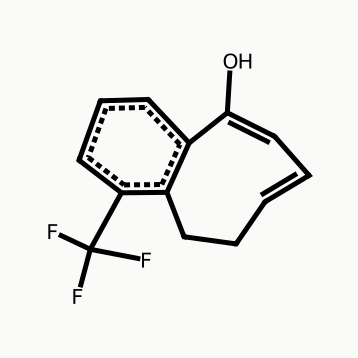 O/C1=C/C=C/CCc2c1cccc2C(F)(F)F